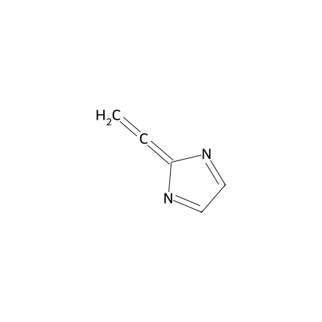 C=C=C1N=CC=N1